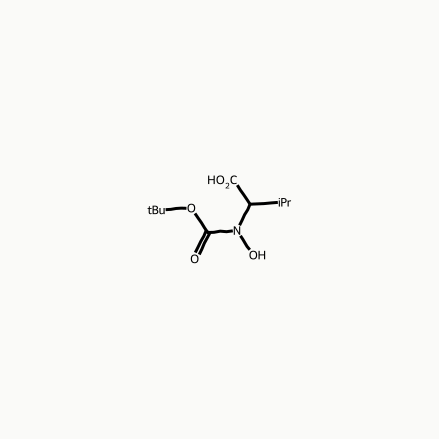 CC(C)C(C(=O)O)N(O)C(=O)OC(C)(C)C